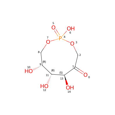 O=C1COP(=O)(O)OC[C@@H](O)[C@@H](O)[C@@H]1O